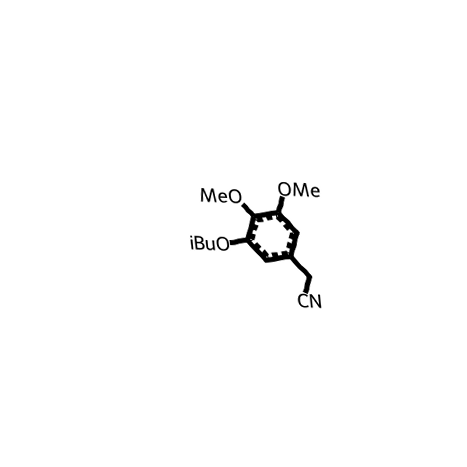 COc1cc(CC#N)cc(OCC(C)C)c1OC